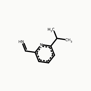 CC(C)c1cccc(C=N)n1